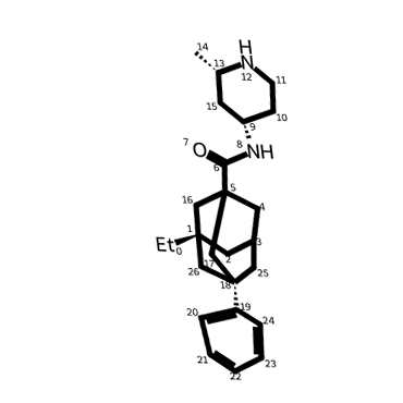 CC[C@]12CC3CC(C(=O)N[C@H]4CCN[C@@H](C)C4)(C1)C[C@@](c1ccccc1)(C3)C2